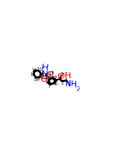 NCCC(O)c1cccc(S(=O)(=O)NC2CCCCC2)c1